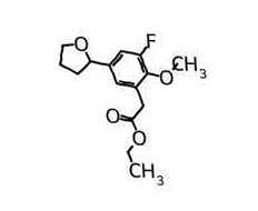 CCOC(=O)Cc1cc(C2CCCO2)cc(F)c1OC